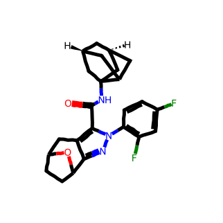 O=C(NC12C[C@@H]3CC1C[C@@H](C3)C2)c1c2c(nn1-c1ccc(F)cc1F)C1CCC(C2)O1